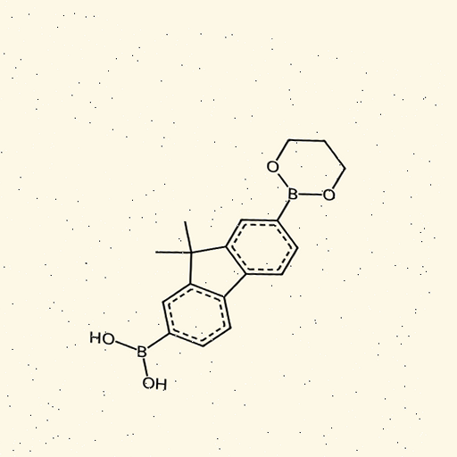 CC1(C)c2cc(B(O)O)ccc2-c2ccc(B3OCCCO3)cc21